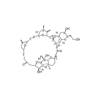 C=C1CC2CCC(=O)CC3O[C@@H]4[C@@H](O[C@H]5CC[C@H](CC(=O)O[C@@H]6[C@@H](C)[C@@H]7O[C@H](CCO)[C@H](O)C[C@@H]7O[C@H]6CC6O[C@@H](CCC1O2)C[C@@H](C)C6=C)OC5[C@H]4O)[C@H]3O